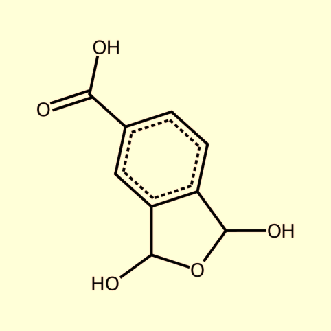 O=C(O)c1ccc2c(c1)C(O)OC2O